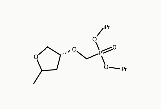 CC(C)OP(=O)(CO[C@H]1COC(C)C1)OC(C)C